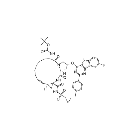 Cc1ccc(-c2nc(O[C@@H]3C[C@H]4C(=O)N[C@]5(C(=O)NS(=O)(=O)C6CC6)C[C@H]5/C=C\CCCCC[C@H](NC(=O)OC(C)(C)C)C(=O)N4C3)c3sc4ccc(F)cc4c3n2)cc1